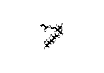 C=CC(=O)OCCC(OC(=O)C(F)(F)C(F)(F)C(F)(F)C(F)(F)F)(C(F)(F)F)C(F)(F)F